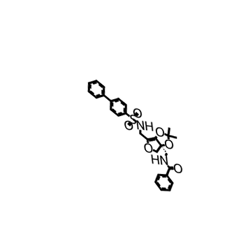 CC1(C)OC2=C(CNS(=O)(=O)c3ccc(-c4ccccc4)cc3)OC[C@]2(CNC(=O)c2ccccc2)O1